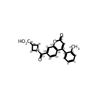 Cc1ccccc1-c1cc(=O)oc2cc(C(=O)N3CC(C(=O)O)C3)ccc12